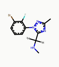 [2H]C([2H])(NC)c1nc(C)nn1-c1cccc(Br)c1F